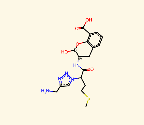 CSCCC(C(=O)N[C@H]1Cc2cccc(C(=O)O)c2OB1O)n1cc(CN)nn1